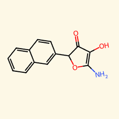 NC1=C(O)C(=O)C(c2ccc3ccccc3c2)O1